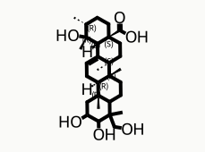 C[C@@H]1CC[C@]2(C(=O)O)CC[C@]3(C)C(=CC[C@@H]4[C@@]5(C)CC(O)C(O)C(C)(CO)C5CC[C@]43C)[C@@H]2[C@]1(C)O